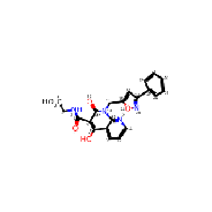 O=C(O)CNC(=O)c1c(O)c2cccnc2n(Cc2cc(-c3ccccc3)no2)c1=O